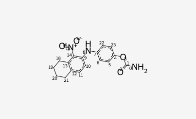 NC(=O)Oc1ccc(Nc2ccc3c(c2[N+](=O)[O-])CCCC3)cc1